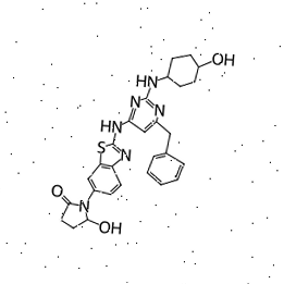 O=C1CCC(O)N1c1ccc2nc(Nc3cc(Cc4ccccc4)nc(NC4CCC(O)CC4)n3)sc2c1